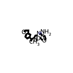 CC(c1ccc2occc2c1)c1cc(/N=C(/N)N2CCOCC2)on1